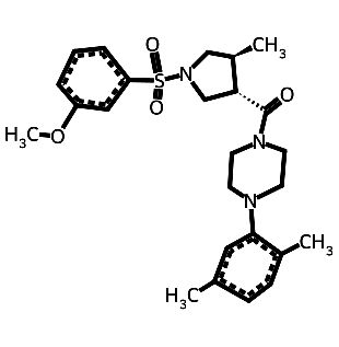 COc1cccc(S(=O)(=O)N2C[C@@H](C)[C@H](C(=O)N3CCN(c4cc(C)ccc4C)CC3)C2)c1